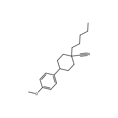 CCCCCC1(C#N)CCC(c2ccc(OC)cc2)CC1